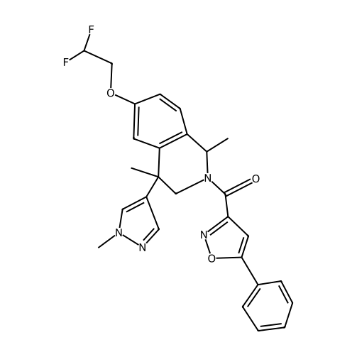 CC1c2ccc(OCC(F)F)cc2C(C)(c2cnn(C)c2)CN1C(=O)c1cc(-c2ccccc2)on1